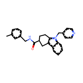 Cc1cccc(CNC(=O)C2CCc3c(c4ccccc4n3Cc3ccncc3)C2)c1